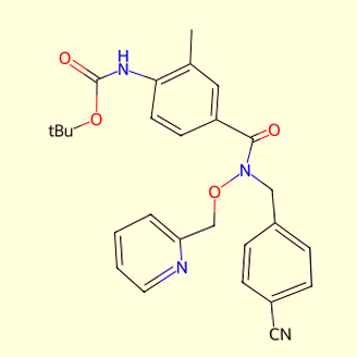 Cc1cc(C(=O)N(Cc2ccc(C#N)cc2)OCc2ccccn2)ccc1NC(=O)OC(C)(C)C